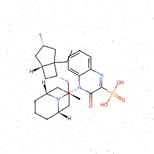 CCC12C[C@@H](C)C[C@H]1C[C@H]2C[C@@H](C)N1[C@@H]2CCC[C@H]1C[C@@H](n1c(=O)c(P(=O)(O)O)nc3ccccc31)C2